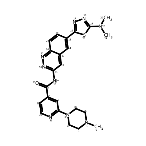 CN1CCN(c2cc(C(=O)Nc3cc4cc(-c5nnc(N(C)C)s5)ccc4nn3)ccn2)CC1